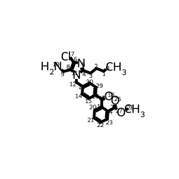 CCCCc1nc(Cl)c(CN)n1Cc1ccc(C(=O)c2ccccc2C(=O)OC)cc1